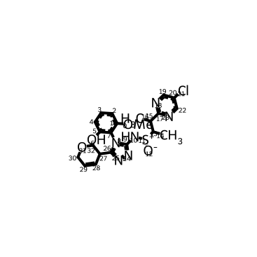 COc1cccc(O)c1-n1c(N[S+]([O-])C(C)C(C)c2ncc(Cl)cn2)nnc1C1C=CCOC1